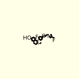 CC[C@@H]1CCc2cc(O)ccc2[C@@H]1c1ccc(OCCN2CC(CF)C2)cc1F